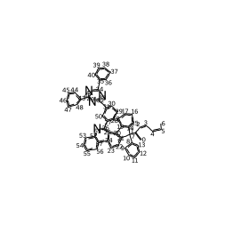 C=C(/C=C\C=C/C)C1(c2ccccc2)c2ccccc2-c2c1ccc1c2c(-c2cccc(-c3nc(-c4ccccc4)nc(-c4ccccc4)n3)c2)nc2ccccc21